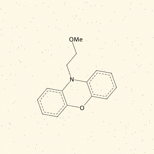 COCCN1c2ccccc2Oc2ccccc21